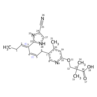 CC/C=C(\C=C/Cc1cnc(OCC(C)(C)C(=O)O)cc1C)c1nc(C#N)c[nH]1